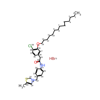 Br.CCCCCCCCCCCCCCOc1cc(CC(=O)Nc2ccc(CN3C=C(C)SC3)cc2)ccc1Cl